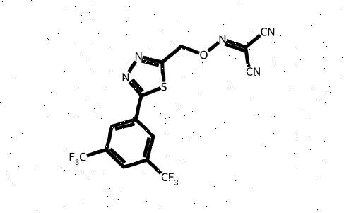 N#CC(C#N)=NOCc1nnc(-c2cc(C(F)(F)F)cc(C(F)(F)F)c2)s1